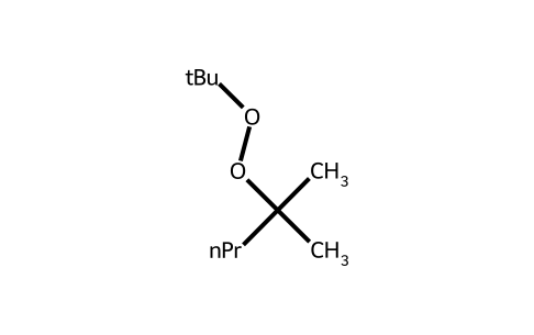 C[CH]CC(C)(C)OOC(C)(C)C